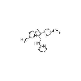 Cc1ccc(-c2nc3ccc(C)cn3c2CNc2ccccn2)cc1